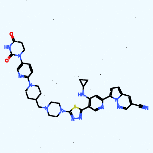 N#Cc1cnn2c(-c3cc(NC4CC4)c(-c4nnc(N5CCN(CC6CCN(c7ccc(N8CCC(=O)NC8=O)cn7)CC6)CC5)s4)cn3)ccc2c1